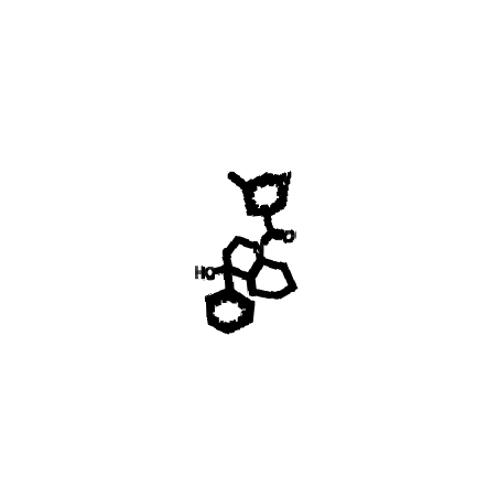 Cc1cncc(C(=O)N2CCC(O)(c3ccccc3)C3CCCCC32)c1